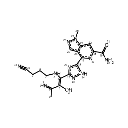 CC(=N)/C(O)=C(\NCCCC#N)c1n[nH]c(-c2nc(C(N)=O)cc3c2cnn3C)n1